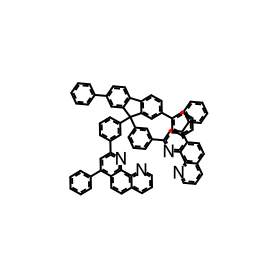 c1ccc(-c2ccc3c(c2)C(c2cccc(-c4cc(-c5ccccc5)c5ccc6cccnc6c5n4)c2)(c2cccc(-c4cc(-c5ccccc5)c5ccc6cccnc6c5n4)c2)c2cc(-c4ccccc4)ccc2-3)cc1